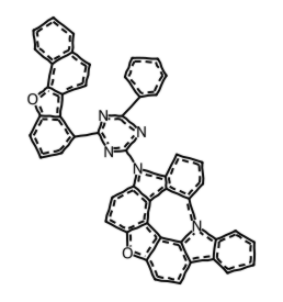 c1ccc(-c2nc(-c3cccc4oc5c6ccccc6ccc5c34)nc(-n3c4ccc5oc6ccc7c8ccccc8n8c9cccc3c9c4c5c6c78)n2)cc1